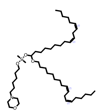 CCCCC/C=C\C/C=C\CCCCCCCCOC(CCCCCCC/C=C\C/C=C\CCCCC)O[Si](C)(C)OCCCCCCN1CCOCC1